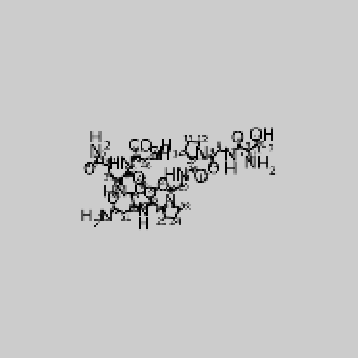 C[C@@H](O)[C@H](N)C(=O)NCC(=O)N1CCC[C@H]1C(=O)NCC(=O)N1CCC[C@H]1C(=O)N[C@@H](CC(N)=O)C(=O)N[C@@H](CCC(N)=O)C(=O)N[C@@H](CS)C(=O)O